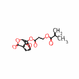 C=C(C)C(=O)OCCC(=O)Oc1c2c3oc1cc3C(=O)O2